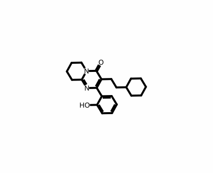 O=c1c(CCC2CCCCC2)c(-c2ccccc2O)nc2n1CCCC2